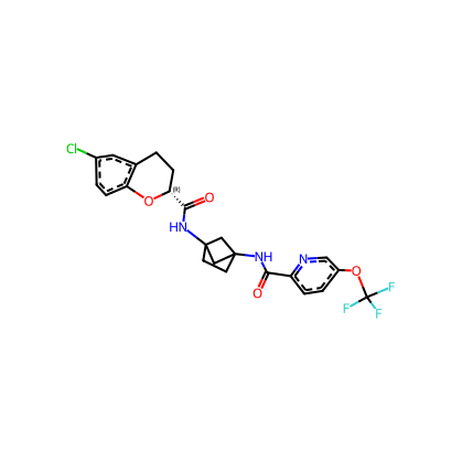 O=C(NC12CCC(NC(=O)[C@H]3CCc4cc(Cl)ccc4O3)(C1)C2)c1ccc(OC(F)(F)F)cn1